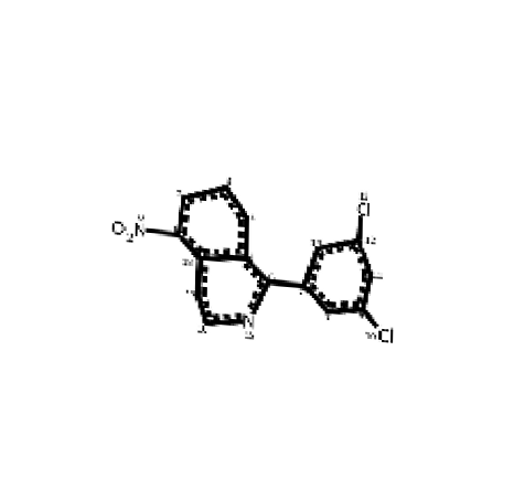 O=[N+]([O-])c1cccc2c(-c3cc(Cl)cc(Cl)c3)nccc12